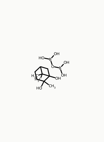 CC1(O)CCC2CC1(O)C2(C)C.OB(O)OB(O)O